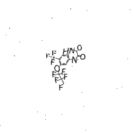 O=C1[N]c2cc(OC(F)(F)C(F)(F)CF)c(C(F)(F)F)cc2NC1=O